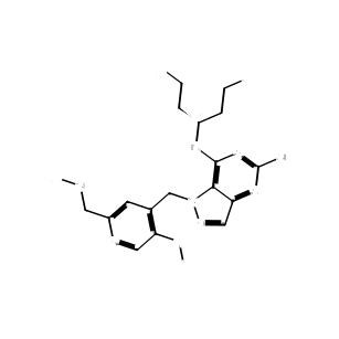 CCC[C@@H](CCO)Nc1nc(N)nc2cnn(Cc3cc(CNC)ncc3OC)c12